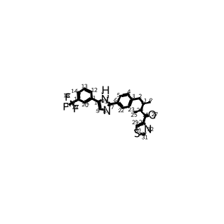 CC(Cc1ccc(-c2ncc(-c3cccc(C(F)(F)F)c3)[nH]2)cc1)C(C)C(=O)c1cscn1